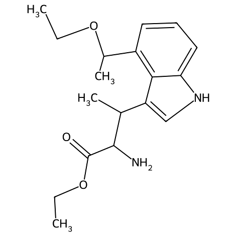 CCOC(=O)C(N)C(C)c1c[nH]c2cccc(C(C)OCC)c12